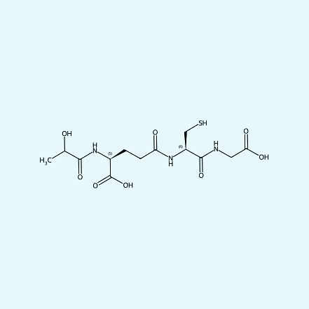 CC(O)C(=O)N[C@@H](CCC(=O)N[C@@H](CS)C(=O)NCC(=O)O)C(=O)O